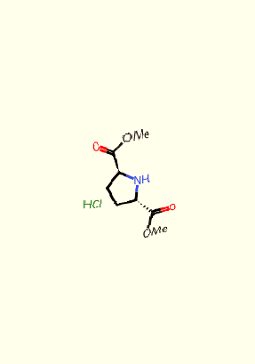 COC(=O)[C@@H]1CC[C@@H](C(=O)OC)N1.Cl